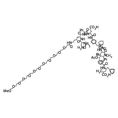 CC[C@H](C)[C@H](NC(=O)[C@H]1CCCC[N+]1(C)Cc1ccc(NC(=O)[C@H](CCC(=O)O)NC(=O)[C@@H](NC(=O)[C@H](CCCCNC(=O)CCOCCOCCOCCOCCOCCOCCOCCOCCOCCOCCOCCOC)NC(=O)[C@H](CN)NC(=O)CI)C(C)C)cc1)C(=O)N(C)[C@H](C[C@@H](OC(C)=O)c1nc(C(=O)N[C@@H](Cc2ccccc2)C[C@H](C)C(=O)O)cs1)C(C)C